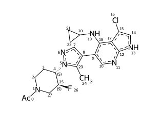 CC(=O)N1CC[C@H](n2ncc(-c3cnc4[nH]cc(Cl)c4c3NC3CC3)c2C)[C@@H](F)C1